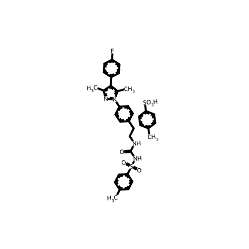 Cc1ccc(S(=O)(=O)NC(=O)NCCc2ccc(-n3nc(C)c(-c4ccc(F)cc4)c3C)cc2)cc1.Cc1ccc(S(=O)(=O)O)cc1